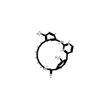 Cc1cc2ccc1-c1ccnc(n1)Nc1ccc(N)c(c1)CCCCCCNC2=O